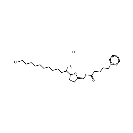 CCCCCCCCCCCC(C)C1CCC(=COC(=O)CCCC[n+]2ccccc2)O1.[Cl-]